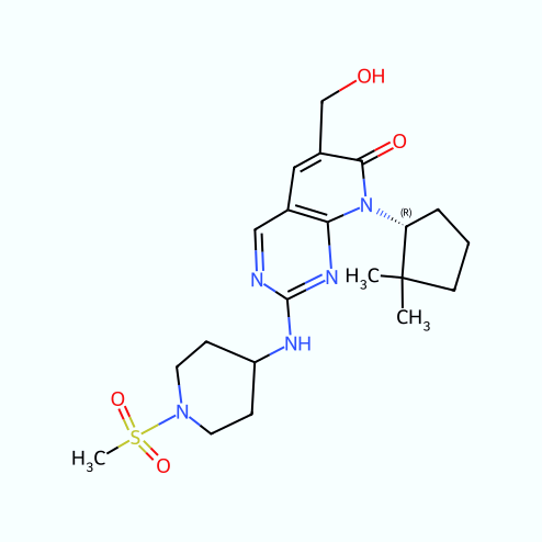 CC1(C)CCC[C@H]1n1c(=O)c(CO)cc2cnc(NC3CCN(S(C)(=O)=O)CC3)nc21